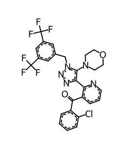 O=C(c1ccccc1Cl)c1cccnc1-c1nnn(Cc2cc(C(F)(F)F)cc(C(F)(F)F)c2)c1N1CCOCC1